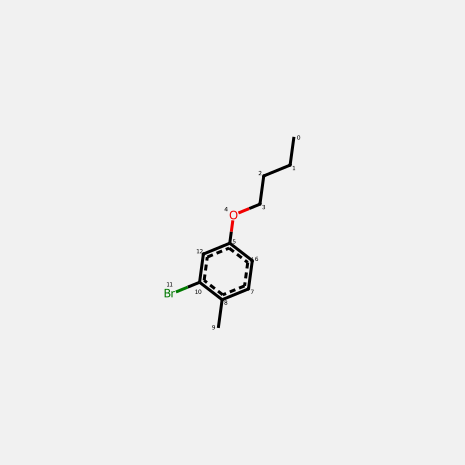 CCCCOc1[c]cc(C)c(Br)c1